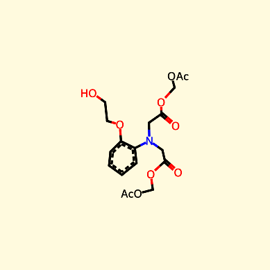 CC(=O)OCOC(=O)CN(CC(=O)OCOC(C)=O)c1ccccc1OCCO